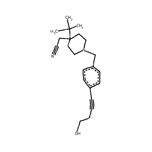 CC(C)(C)C1(CC#N)CCN(Cc2ccc(C#CCCO)cc2)CC1